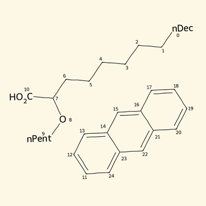 CCCCCCCCCCCCCCCCC(OCCCCC)C(=O)O.c1ccc2cc3ccccc3cc2c1